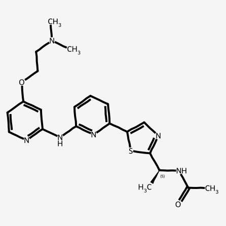 CC(=O)N[C@@H](C)c1ncc(-c2cccc(Nc3cc(OCCN(C)C)ccn3)n2)s1